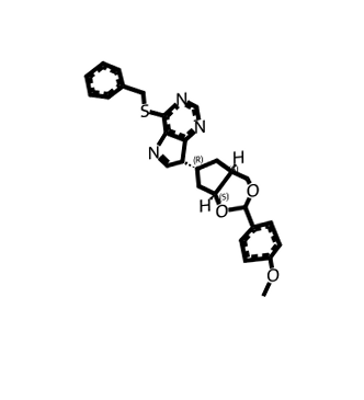 COc1ccc(C2OC[C@@H]3C[C@@H](C4C=Nc5c(SCc6ccccc6)ncnc54)C[C@@H]3O2)cc1